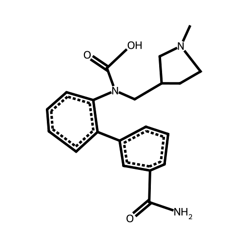 CN1CCC(CN(C(=O)O)c2ccccc2-c2cccc(C(N)=O)c2)C1